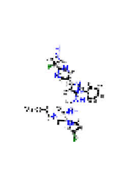 COCCN1C[C@@H](n2ccc(F)c2)[C@H](NCNc2c(C)c(-c3cnc(C4(F)CNC4)nc3)nn2-c2ccccc2)C1